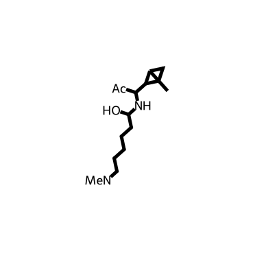 CNCCCCCC(O)NC(C(C)=O)C1C2CC21C